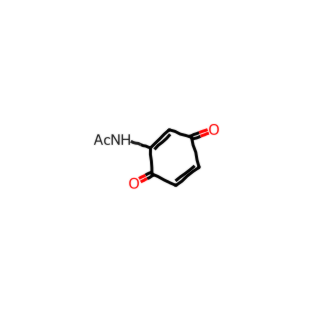 CC(=O)NC1=CC(=O)C=CC1=O